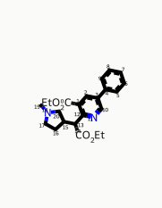 CCOC(=O)c1cc(-c2ccccc2)cnc1C(C(=O)OCC)C1CCN(C)C1